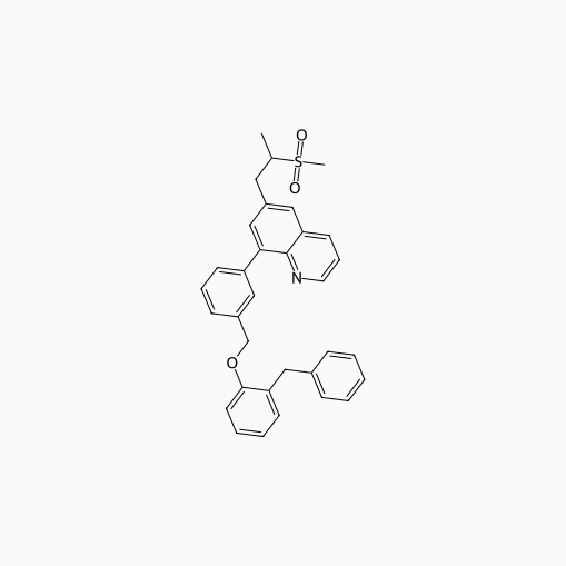 CC(Cc1cc(-c2cccc(COc3ccccc3Cc3ccccc3)c2)c2ncccc2c1)S(C)(=O)=O